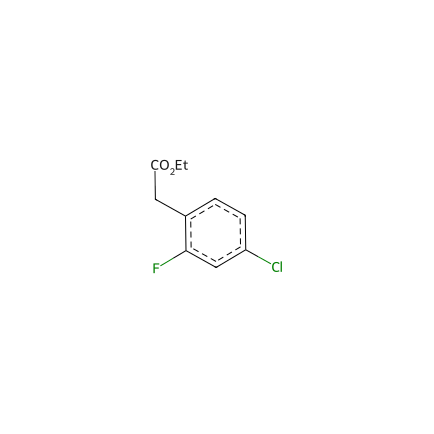 CCOC(=O)Cc1ccc(Cl)cc1F